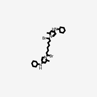 Cc1cc(NC2CCCCC2)cc[n+]1C(Br)CCCCCCC(Br)[n+]1ccc(NC2CCCCC2)cc1C